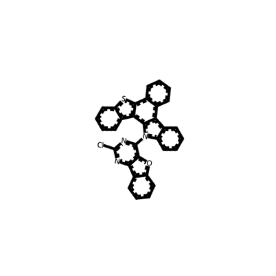 Clc1nc(-n2c3ccccc3c3c4ccccc4c4sc5ccccc5c4c32)c2oc3ccccc3c2n1